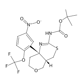 CC(C)(C)OC(=O)NC1=N[C@@]2(c3cc([N+](=O)[O-])ccc3OC(F)(F)F)CCOC[C@H]2CS1